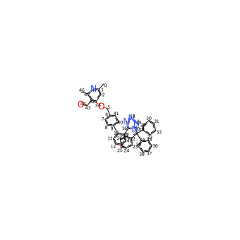 Cc1cc(OCc2ccc(-c3ccccc3-c3nnnn3C(c3ccccc3)(c3ccccc3)c3ccccc3)cc2)c(C=O)c(C)n1